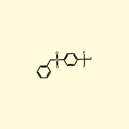 O=S(=O)(Cc1ccccc1)c1ccc(C(F)(F)F)cc1